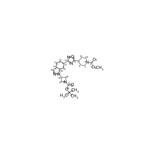 COC(=O)N1CCC(c2nc(-c3ccc4cnn(C5CN(C(=O)OC(C)(C)C)C5)c4c3)no2)CC1